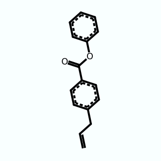 C=CCc1ccc(C(=O)Oc2ccccc2)cc1